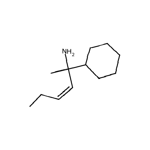 CC/C=C\C(C)(N)C1CCCCC1